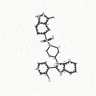 Cc1n[nH]c2ccc(S(=O)(=O)N3CCC(n4c(-c5ccncc5F)nc5cccnc54)CC3)cc12